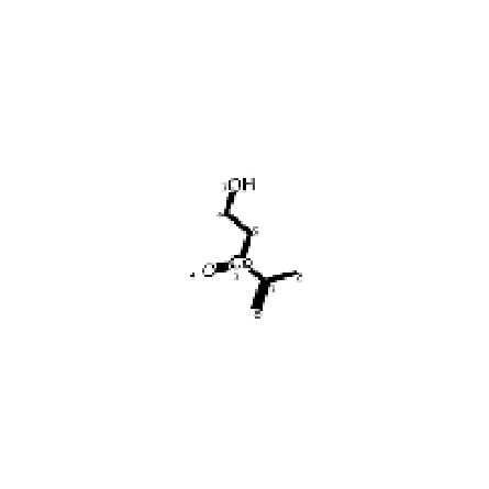 C=[C](C)[Co](=[O])[CH2]CO